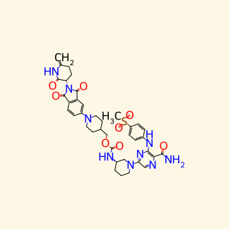 C=C1CC[C@H](N2C(=O)c3ccc(N4CCC(COC(=O)N[C@@H]5CCCN(c6cnc(C(N)=O)c(Nc7ccc(S(C)(=O)=O)cc7)n6)C5)CC4)cc3C2=O)C(=O)N1